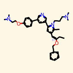 CC/C(=C\c1cc(-c2cncc(-c3ccc(OCCN(C)C)cc3)c2)n(CCCN(C)C)c1C)OCc1ccccc1